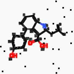 C=C(C)CC1=NC2=CC=CC(c3ccc(O)cc3)C2=C1C(=O)O